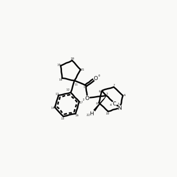 O=C(O[C@H]1CN2CCC1CC2)C1(c2ccccc2)CCCC1